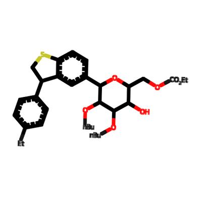 CCCCOC1C(c2ccc3c(c2)C(c2ccc(CC)cc2)CS3)OC(COC(=O)OCC)C(O)C1OCCCC